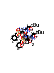 CC(C)(C)c1cc(NC(=O)C(C)(C)S(=O)(=O)CC2CCCCC2)no1.CC(C)(C)c1cc(NC(=O)C(C)(C)S(=O)(=O)CC2CCCCO2)no1